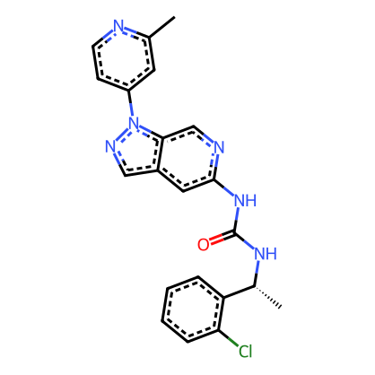 Cc1cc(-n2ncc3cc(NC(=O)N[C@H](C)c4ccccc4Cl)ncc32)ccn1